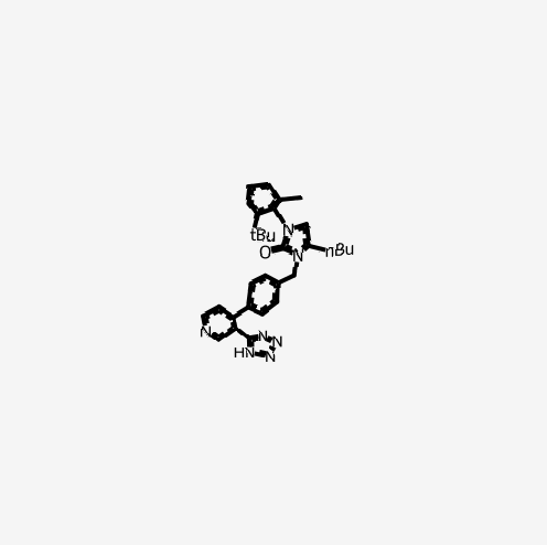 CCCCc1cn(-c2c(C)cccc2C(C)(C)C)c(=O)n1Cc1ccc(-c2ccncc2-c2nnn[nH]2)cc1